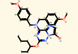 CCCC(CC)Oc1nc(N(Cc2ccc(OC)cc2)Cc2ccc(OC)cc2)c2ncc(Br)n2n1